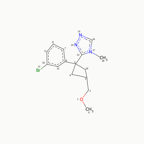 COCC1CC(c2cccc(Br)c2)(c2nncn2C)C1